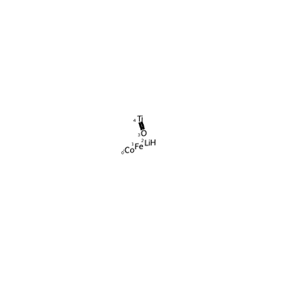 [Co].[Fe].[LiH].[O]=[Ti]